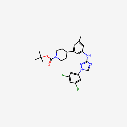 Cc1cc(Nc2ncn(-c3cc(F)cc(F)c3)n2)cc(C2CCN(C(=O)OC(C)(C)C)CC2)c1